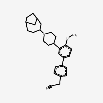 COc1ccc(-c2ccc(CC#N)cc2)cc1C1CCN(C2CCC3CCC(C3)C2)CC1